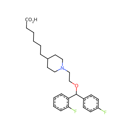 O=C(O)CCCCCC1CCN(CCOC(c2ccc(F)cc2)c2ccccc2F)CC1